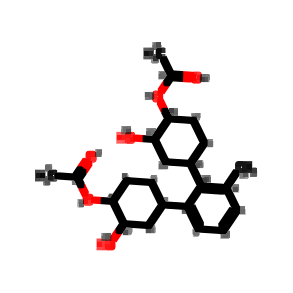 CC(=O)OC1CCC(c2cccc(C)c2C2CCC(OC(C)=O)C(O)C2)CC1O